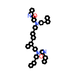 C1=C(c2cccc3ccccc23)CCC(N(c2ccc(-c3ccc4cc(-c5cc(-c6ccc(N(c7ccc(-c8ccc9ccccc9c8)cc7)c7ccnc8c7oc7c9ccccc9ccc87)cc6)c6ccccc6c5)ccc4c3)cc2)c2ccc3c(c2)oc2c4ccccc4cnc32)=C1